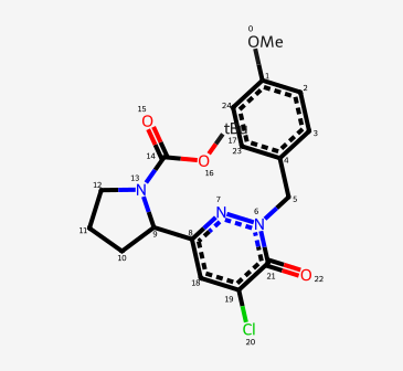 COc1ccc(Cn2nc(C3CCCN3C(=O)OC(C)(C)C)cc(Cl)c2=O)cc1